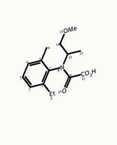 CCc1cccc(C)c1N(C(=O)C(=O)O)C(C)COC